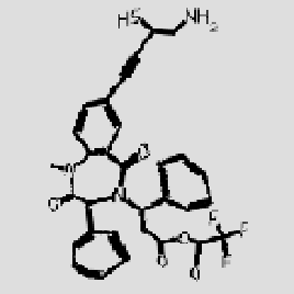 CN1C(=O)C(c2ccccc2)N(C(CC(=O)OC(=O)C(F)(F)F)c2ccccc2)C(=O)c2cc(C#CC(S)CN)ccc21